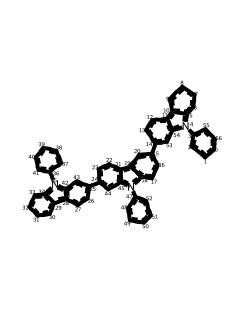 c1ccc(-n2c3ccccc3c3ccc(-c4ccc5c(c4)c4ccc(-c6ccc7c8ccccc8n(-c8ccccc8)c7c6)cc4n5-c4ccccc4)cc32)cc1